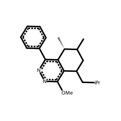 COc1nnc(-c2ccccc2)c2c1C(CC(C)C)CC(C)[C@H]2C